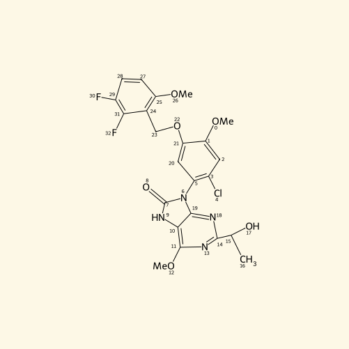 COc1cc(Cl)c(-n2c(=O)[nH]c3c(OC)nc(C(C)O)nc32)cc1OCc1c(OC)ccc(F)c1F